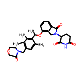 Bc1cc(CN2CCOCC2=O)c(B)c(B)c1C(B)Oc1cccc2c1CN(C1CCC(=O)NC1=O)C2=O